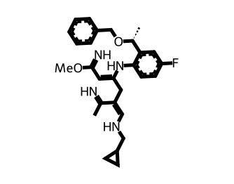 COC(=N)/C=C(/C/C(=C/NCC1CC1)C(C)=N)Nc1ccc(F)cc1[C@@H](C)OCc1ccccc1